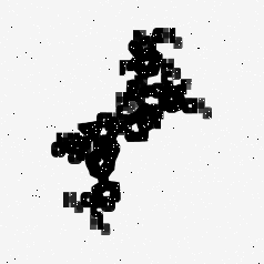 Cc1cc(-n2nc3c(c2-n2ccn(-c4ccc5c(cnn5C)c4F)c2=O)[C@H](C)N(C(=O)c2cc4cc(C5CCOC(C)(C)C5)ccc4n2[C@@]2(c4noc(=O)[nH]4)C[C@@H]2C)CC3)cc(C)c1F